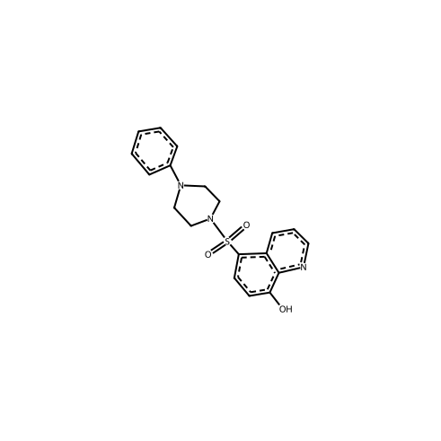 O=S(=O)(c1ccc(O)c2ncccc12)N1CCN(c2ccccc2)CC1